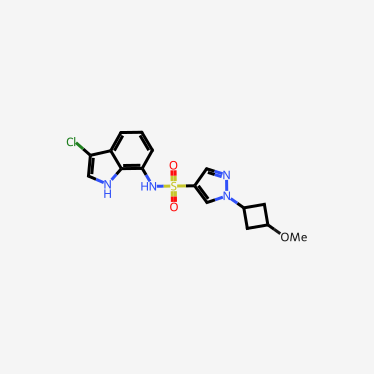 COC1CC(n2cc(S(=O)(=O)Nc3cccc4c(Cl)c[nH]c34)cn2)C1